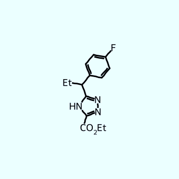 CCOC(=O)c1nnc(C(CC)c2ccc(F)cc2)[nH]1